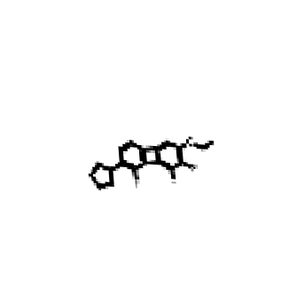 CCOc1cc2c(c(F)c1F)-c1c-2ccc(C2CCCC2)c1F